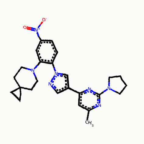 Cc1cc(-c2cnn(-c3ccc([N+](=O)[O-])cc3N3CCC4(CC3)CC4)c2)nc(N2CCCC2)n1